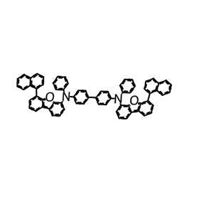 c1ccc(N(c2ccc(-c3ccc(N(c4ccccc4)c4cccc5c4oc4c(-c6cccc7ccccc67)cccc45)cc3)cc2)c2cccc3c2oc2c(-c4cccc5ccccc45)cccc23)cc1